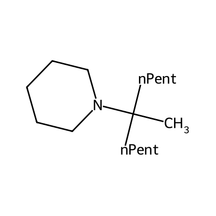 CCCCCC(C)(CCCCC)N1CCCCC1